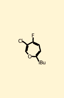 CCC(C)C1=CC=C(F)C(Cl)=CO1